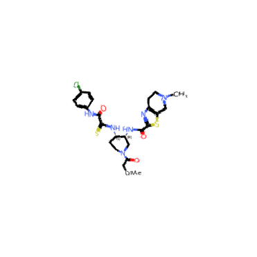 COCC(=O)N1CC[C@H](NC(=S)C(=O)Nc2ccc(Cl)cc2)[C@H](NC(=O)c2nc3c(s2)CN(C)CC3)C1